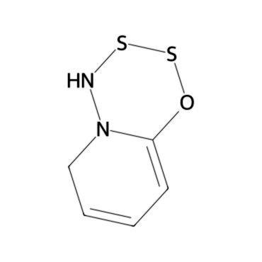 C1=CCN2NSSOC2=C1